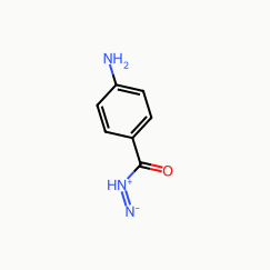 [N-]=[NH+]C(=O)c1ccc(N)cc1